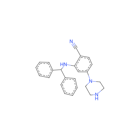 N#Cc1ccc(N2CCNCC2)cc1NC(c1ccccc1)c1ccccc1